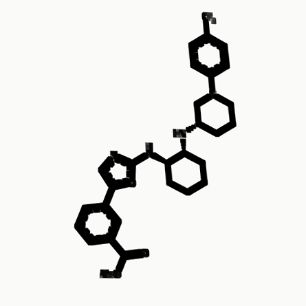 COC(=O)c1cccc(-c2cnc(N[C@@H]3CCCC[C@H]3N[C@H]3CCCN(c4ccc(C(F)(F)F)cc4)C3)o2)c1